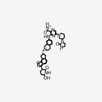 CN1CCN([C@@H]2CCCN(c3cnc(C(N)=O)c(Nc4ccc5c(c4)CN(C[C@@H]4Cc6ccc7c(C8CCC(O)NC8=O)noc7c6C4)CC5)n3)C2)C1=O